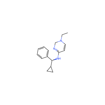 CCN1C=CC(N[C@H](c2ccccc2)C2CC2)=NC1